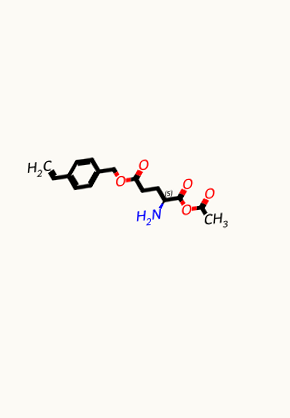 C=Cc1ccc(COC(=O)CC[C@H](N)C(=O)OC(C)=O)cc1